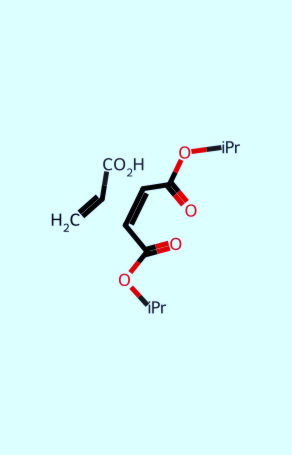 C=CC(=O)O.CC(C)OC(=O)/C=C\C(=O)OC(C)C